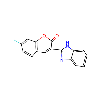 O=c1oc2cc(F)ccc2cc1-c1nc2ccccc2[nH]1